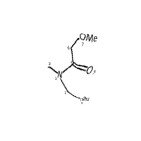 CCCCCN(C)C(=O)COC